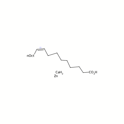 CCCCCCCC/C=C\CCCCCCCC(=O)O.[CaH2].[Zn]